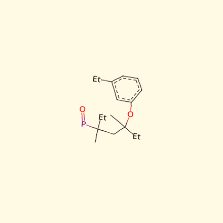 CCc1cccc(OC(C)(CC)CC(C)(CC)P=O)c1